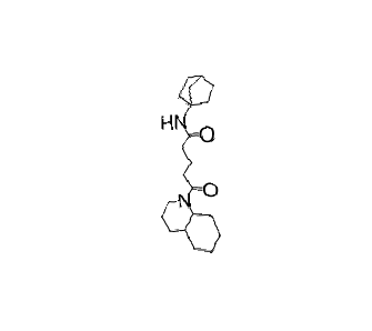 O=C(CCCC(=O)N1CCCC2CCCCC21)NC12CCC(CC1)C2